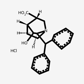 Cl.O=C(O)[C@@H]1CN2CC[C@H]1[C@H](O)[C@@H]2C(c1ccccc1)c1ccccc1